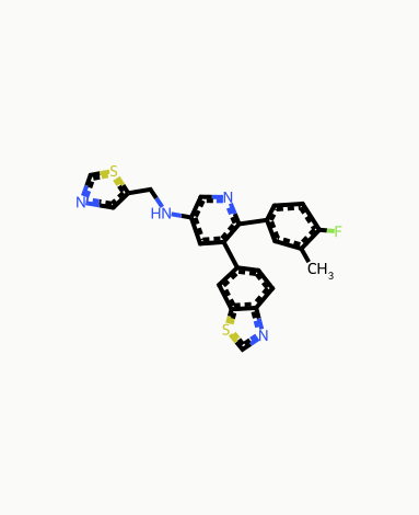 Cc1cc(-c2ncc(NCc3cncs3)cc2-c2ccc3ncsc3c2)ccc1F